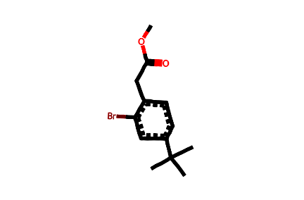 COC(=O)Cc1ccc(C(C)(C)C)cc1Br